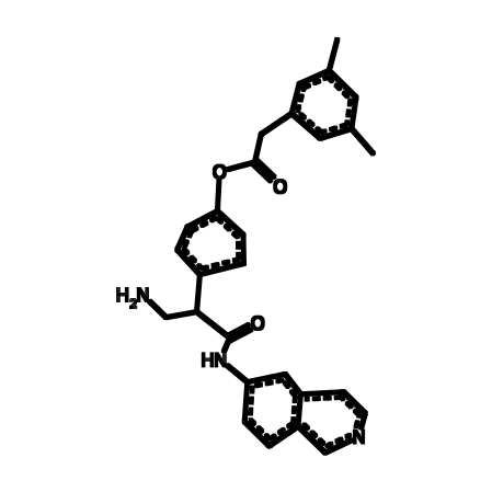 Cc1cc(C)cc(CC(=O)Oc2ccc(C(CN)C(=O)Nc3ccc4cnccc4c3)cc2)c1